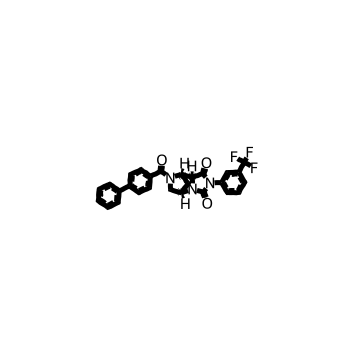 O=C1[C@H]2[C@@H]3C[C@@H](CN3C(=O)c3ccc(-c4ccccc4)cc3)N2C(=O)N1c1cccc(C(F)(F)F)c1